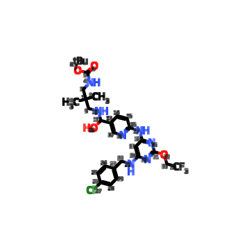 CC(C)(CNC(=O)OC(C)(C)C)CNC(O)c1ccc(Nc2cc(NCc3ccc(Cl)cc3)nc(OCC(F)(F)F)n2)nc1